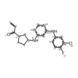 C=CC(=O)N1CCC(Nc2cc(Nc3ccc(F)c(Cl)c3)ncn2)C1